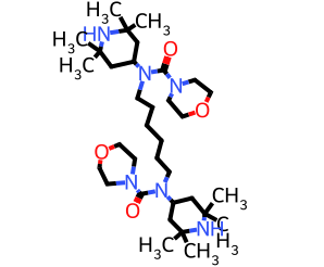 CC1(C)CC(N(CCCCCCN(C(=O)N2CCOCC2)C2CC(C)(C)NC(C)(C)C2)C(=O)N2CCOCC2)CC(C)(C)N1